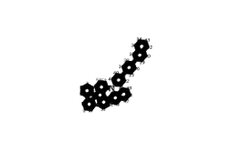 c1ccc(C2(c3ccccc3)c3ccccc3-c3c(N(c4ccc(-c5ccc(-c6ccc7ccccc7c6)cc5)cc4)c4cccc5ccccc45)cccc32)cc1